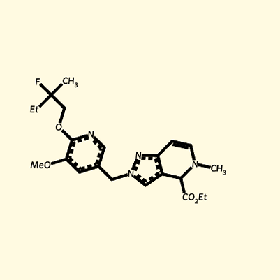 CCOC(=O)C1c2cn(Cc3cnc(OCC(C)(F)CC)c(OC)c3)nc2C=CN1C